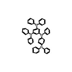 c1ccc(N(c2ccccc2)c2ccc(N(c3ccccc3)c3cc(N(c4ccccc4)c4ccccc4)cc(N(c4ccccc4)c4ccccc4)c3)cc2)cc1